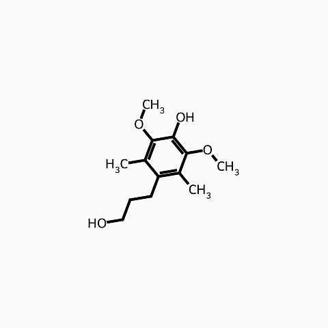 COc1c(C)c(CCCO)c(C)c(OC)c1O